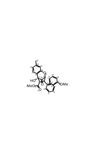 COC(=O)C1C(c2ccccc2)[C@]2(c3ccc(OC)cc3)Oc3cc(C)cnc3[C@@]1(O)C2=O